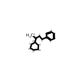 CC(CCc1ccccc1)C1CCCCC1